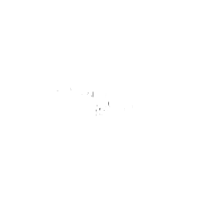 O=C([O-])CCNCCOCCC(=O)[O-].[Na+].[Na+]